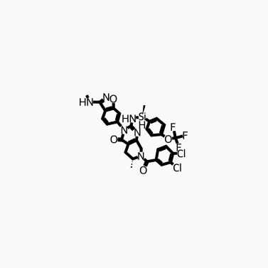 CNc1noc2cc(-n3c(N[Si@@H](C)c4ccc(OC(F)(F)F)cc4)nc4c(c3=O)C[C@@H](C)N(C(=O)c3ccc(Cl)c(Cl)c3)C4)ccc12